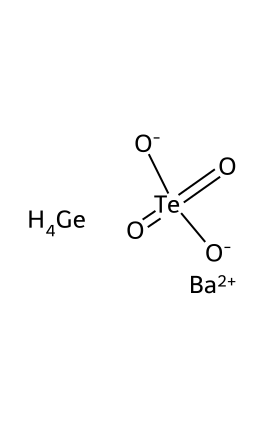 O=[Te](=O)([O-])[O-].[Ba+2].[GeH4]